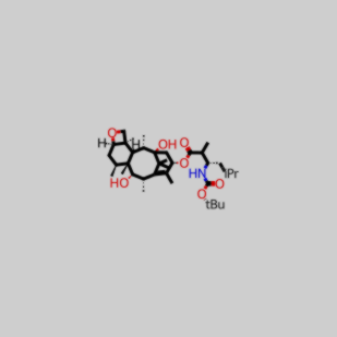 CC1=C2[C@H](C)[C@H](O)[C@@]3(C)[C@H]([C@H](C)[C@](O)(C[C@@H]1OC(=O)C(C)[C@H](CC(C)C)NC(=O)OC(C)(C)C)C2(C)C)[C@]1(C)CO[C@@H]1C[C@@H]3C